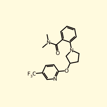 CN(C)C(=O)c1ccccc1N1CCC(Oc2ccc(C(F)(F)F)cn2)C1